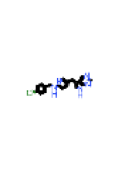 Clc1ccc(CNc2ccc(Cc3c[nH]c4ncncc34)cn2)cc1